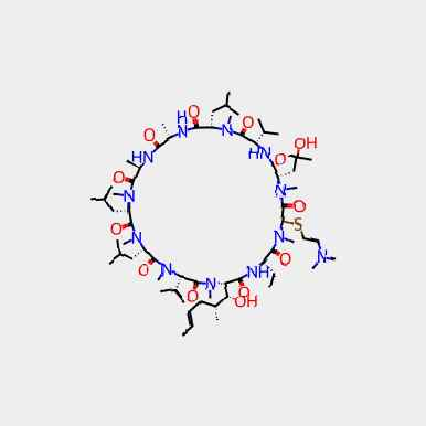 C/C=C/C[C@@H](C)[C@@H](O)[C@H]1C(=O)N[C@@H](CC)C(=O)N(C)[C@H](SCCN(C)C)C(=O)N(C)[C@@H](CC(C)(C)O)C(=O)N[C@@H](C(C)C)C(=O)N(C)[C@@H](CC(C)C)C(=O)N[C@@H](C)C(=O)N[C@H](C)C(=O)N(C)[C@@H](CC(C)C)C(=O)N(C)[C@@H](CC(C)C)C(=O)N(C)[C@@H](C(C)C)C(=O)N1C